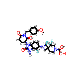 COc1ccc(CN2C(=O)CCC(n3c(=O)n(C)c4c(F)c(N5CC6(CCN(C(=O)O)CC6(F)F)C5)ccc43)C2=O)cc1